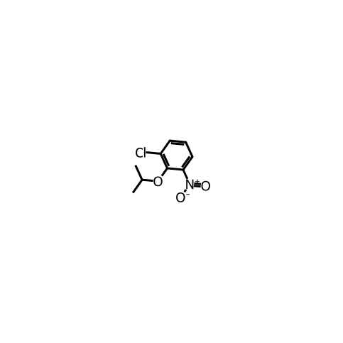 CC(C)Oc1c(Cl)cccc1[N+](=O)[O-]